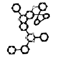 c1ccc(-c2cccc(-c3nc(-c4ccccc4)nc(-c4ccc5nc(-c6ccccc6)c6cc7c(cc6c5c4)C4(c5ccccc5O7)c5ccccc5-c5ccccc54)n3)c2)cc1